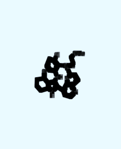 COCCOc1ccc2nccc(-c3[nH]c4c(c3Nc3cccc(Cl)c3OC)C(=O)CCC4)c2n1